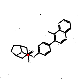 CCC(=O)N1C2CCC1CC(Oc1ccc(-c3ccc4cccnc4c3C)cc1)C2